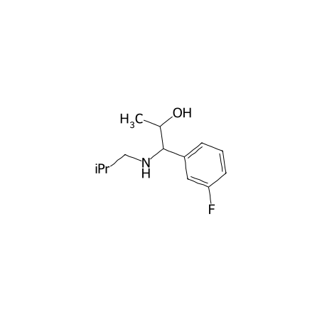 CC(C)CNC(c1cccc(F)c1)C(C)O